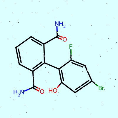 NC(=O)c1cccc(C(N)=O)c1-c1c(O)cc(Br)cc1F